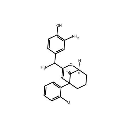 Nc1cc(C(N)C2=NC3(c4ccccc4Cl)CCC[C@H](O2)C3=O)ccc1O